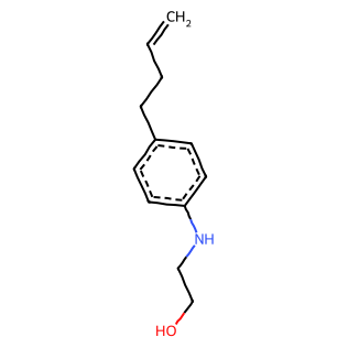 C=CCCc1ccc(NCCO)cc1